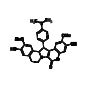 COc1cc2c(cc1O)CCN1c3c(c4cc(OC)c(O)cc4oc3=O)C(c3ccc(N(C)C)cc3)C21